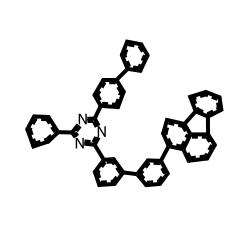 c1ccc(-c2ccc(-c3nc(-c4ccccc4)nc(-c4cccc(-c5cccc(-c6ccc7c8c(cccc68)-c6ccccc6-7)c5)c4)n3)cc2)cc1